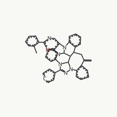 C=C1CC2c3ccccc3N3c4cnc(-c5ccccc5C)nc4N(C)C3C2C2N(N=C(c3ccccc3)N2c2ccccc2)c2ccccc21